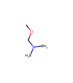 BN(B)COC